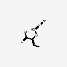 C/C=C(\O[SiH]=[N+]=[N-])C(=O)O